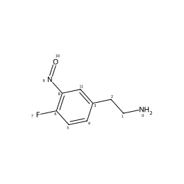 NCCc1ccc(F)c(N=O)c1